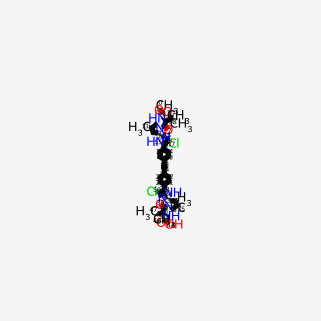 COC(=O)N[C@H](C(=O)N1C[C@@H](C)C[C@H]1c1nc(Cl)c(-c2ccc(C#Cc3ccc(-c4[nH]c([C@@H]5C[C@H](C)CN5C(=O)[C@@H](NC(=O)O)C(C)C)nc4Cl)cc3)cc2)[nH]1)C(C)C